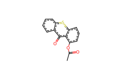 CC(=O)Oc1cccc2sc3ccccc3c(=O)c12